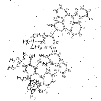 CC(C)(C)c1cc(-c2cc(-c3cccc4c5ccccc5n(-c5ccccc5)c34)ccn2)cc(-c2cccc3c2nc(-c2cc(C(C)(C)C)cc(C(C)(C)C)c2O)n3-c2cc(C(C)(C)C)ccc2-c2ccccc2)c1